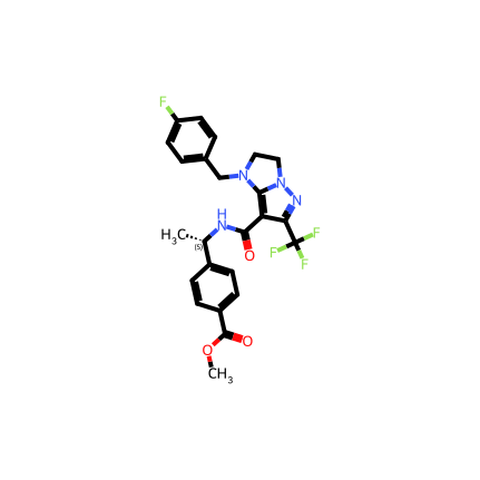 COC(=O)c1ccc([C@H](C)NC(=O)c2c(C(F)(F)F)nn3c2N(Cc2ccc(F)cc2)CC3)cc1